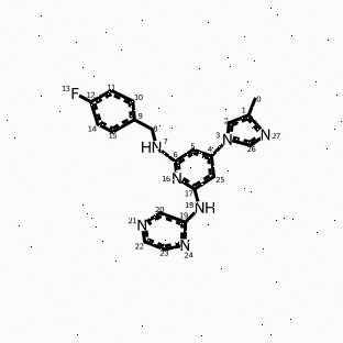 Cc1cn(-c2cc(NCc3ccc(F)cc3)nc(Nc3cnccn3)c2)cn1